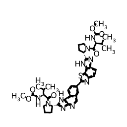 COC(=O)N[C@H](C(=O)N1CCC[C@H]1c1nc2ncc3cc(-c4nc5ccc6nc([C@@H]7CCCN7C(=O)[C@@H](NC(=O)OC)C(C)C)[nH]c6c5s4)ccc3c2[nH]1)C(C)C